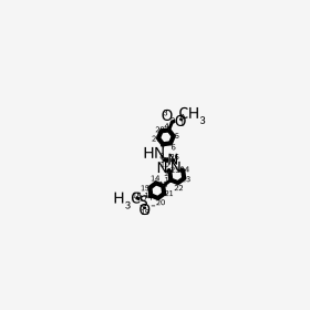 COC(=O)c1ccc(Nc2nc3c(-c4ccc([S+](C)[O-])cc4)cccn3n2)cc1